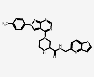 O=C(NCc1ccc2sccc2n1)C1CN(c2ncnc3nn(-c4ccc(C(F)(F)F)cc4)cc23)CCN1